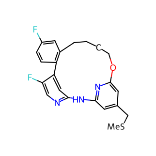 CSCc1cc2nc(c1)OCCCCc1cc(F)ccc1-c1cc(ncc1F)N2